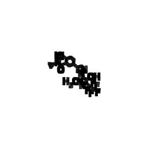 Cn1nc(C(F)(F)C(F)(F)F)c(O)c1-n1cc(-c2ccc(Cl)c(C(=O)NC3CC3)c2)cn1